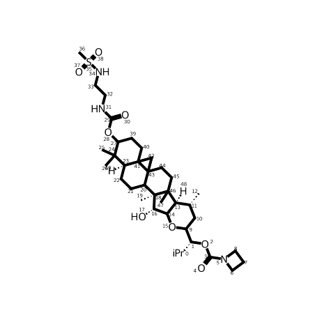 CC(C)[C@@H](OC(=O)N1CCC1)C1C[C@@H](C)[C@H]2C(O1)[C@H](O)[C@@]1(C)C3CC[C@H]4C(C)(C)C(OC(=O)NCCNS(C)(=O)=O)CCC45CC35CCC21C